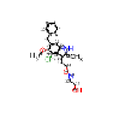 COc1c(Cc2ccccc2)cc2[nH]c(C)c(CCON=CCO)c2c1Cl